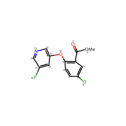 COC(=O)c1cc(Cl)ccc1Oc1cncc(F)c1